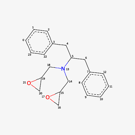 c1ccc(CC(Cc2ccccc2)N(CC2CO2)CC2CO2)cc1